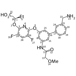 CC[C@@H](Oc1nc(Oc2cc(NC(=O)COC)cc(-c3cccc(CN)c3)c2)c(F)cc1F)C(=O)O